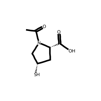 CC(=O)N1C[C@@H](S)C[C@H]1C(=O)O